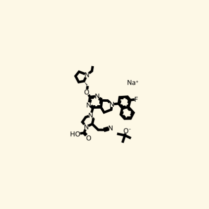 CC(C)(C)[O-].CCN1CCC[C@H]1COc1nc2c(c(N3CCN(C(=O)O)C(CC#N)C3)n1)CCN(c1ccc(F)c3ccccc13)C2.[Na+]